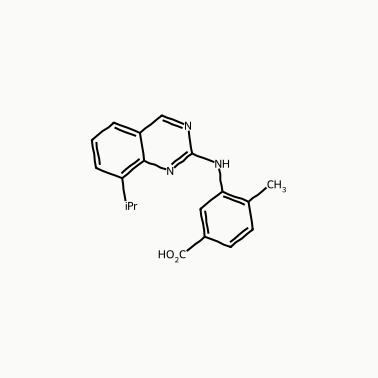 Cc1ccc(C(=O)O)cc1Nc1ncc2cccc(C(C)C)c2n1